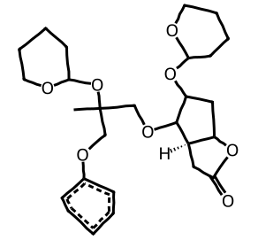 CC(COc1ccccc1)(COC1C(OC2CCCCO2)CC2OC(=O)C[C@H]21)OC1CCCCO1